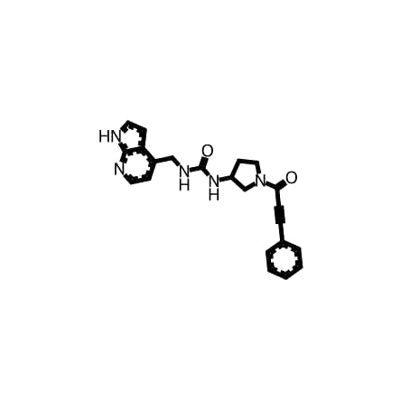 O=C(NCc1ccnc2[nH]ccc12)NC1CCN(C(=O)C#Cc2ccccc2)C1